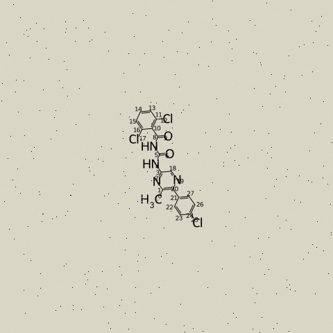 Cc1nc(NC(=O)NC(=O)c2c(Cl)cccc2Cl)cnc1-c1ccc(Cl)cc1